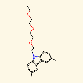 CCOCCOCCOCCn1c2ccc(C)cc2c2cc(C)ccc21